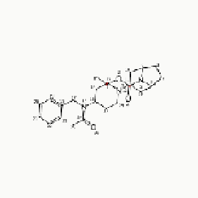 CCOC(=O)N1C2CCC1CC(N1CCC(N(Cc3ccccc3)C(C)=O)CC1)C2